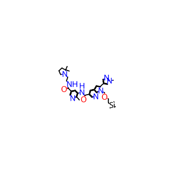 Cc1ncc(C(=O)NCCN2CCCC2(C)C)cc1NC(=O)c1cnc2c(c1)cc(-c1cnn(C)c1)n2COCC[Si](C)(C)C